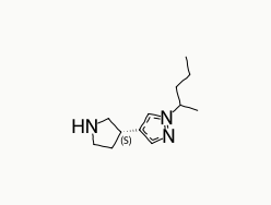 CCCC(C)n1cc([C@@H]2CCNC2)cn1